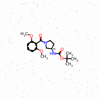 COc1cccc(OC)c1C(=O)N1CC[C@@H](NC(=O)OC(C)(C)C)C1